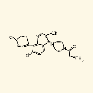 C=CC(=O)N1CCN(c2c(C#N)cnc3c(-c4ccc(Cl)cc4)c(Cl)ccc23)CC1